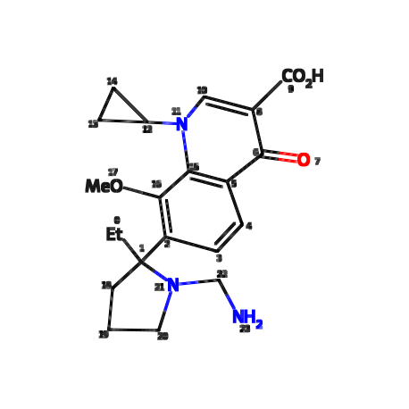 CCC1(c2ccc3c(=O)c(C(=O)O)cn(C4CC4)c3c2OC)CCCN1CN